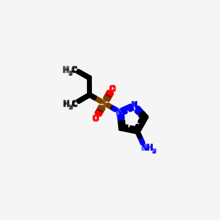 CCC(C)S(=O)(=O)n1cc(N)cn1